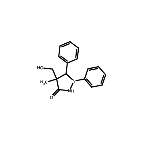 CC1(CO)C(=O)NN(c2ccccc2)C1c1ccccc1